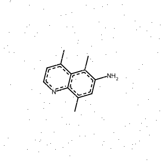 Cc1cc(N)c(C)c2c(C)ccnc12